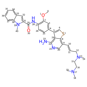 COc1cc(-c2csc3c(/C=C/CN(C)CCN(C)C)cnc(N)c23)ccc1NC(=O)c1cc2ccccc2n1C